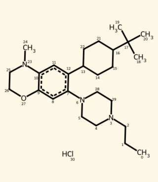 CCCN1CCN(c2cc3c(cc2C2CCC(C(C)(C)C)CC2)N(C)CCO3)CC1.Cl